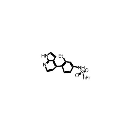 CCCS(=O)(=O)Nc1ccc(-c2ccnc3[nH]ccc23)c(CC)c1